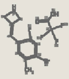 Cc1cc(C=C2CNC2)c(F)cc1Br.O=C(O)C(F)(F)F